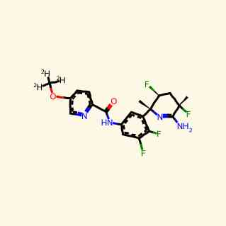 [2H]C([2H])([2H])Oc1ccc(C(=O)Nc2cc(F)c(F)c([C@@]3(C)N=C(N)[C@@](C)(F)C[C@@H]3F)c2)nc1